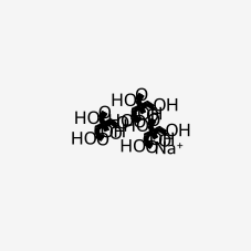 O=C(O)CC(O)(CC(=O)O)C(=O)O.O=C(O)CC(O)(CC(=O)O)C(=O)O.O=C([O-])CC(O)(CC(=O)O)C(=O)O.[Na+]